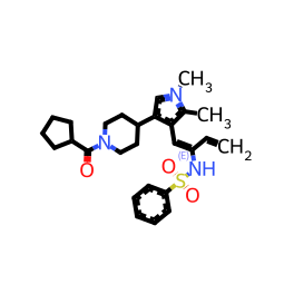 C=C/C(=C\c1c(C2CCN(C(=O)C3CCCC3)CC2)cn(C)c1C)NS(=O)(=O)c1ccccc1